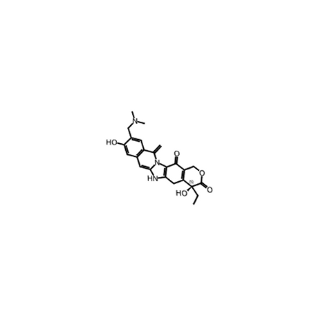 C=C1c2cc(CN(C)C)c(O)cc2C=C2NC3=C(C(=O)C4=C(C3)[C@@](O)(CC)C(=O)OC4)N12